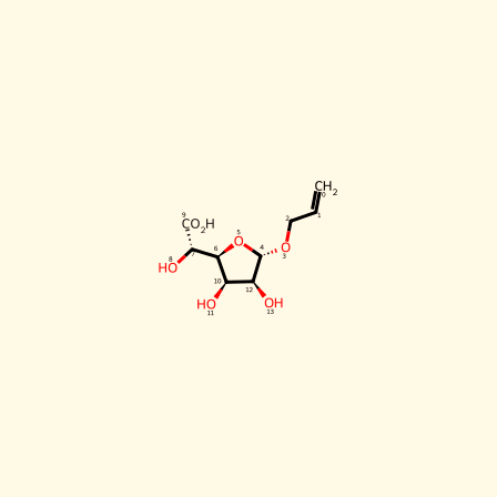 C=CCO[C@H]1O[C@H]([C@H](O)C(=O)O)[C@H](O)[C@@H]1O